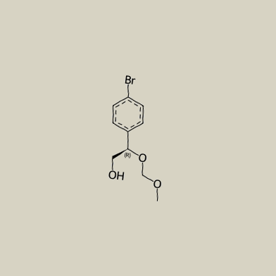 COCO[C@@H](CO)c1ccc(Br)cc1